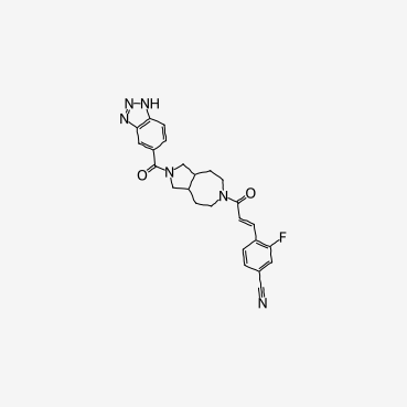 N#Cc1ccc(/C=C/C(=O)N2CCC3CN(C(=O)c4ccc5[nH]nnc5c4)CC3CC2)c(F)c1